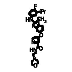 CC(C)c1cc(Nc2nc3cc(Oc4ccnc(C(=O)NCCN5CCOCC5)c4)ccc3n2C)ccc1F